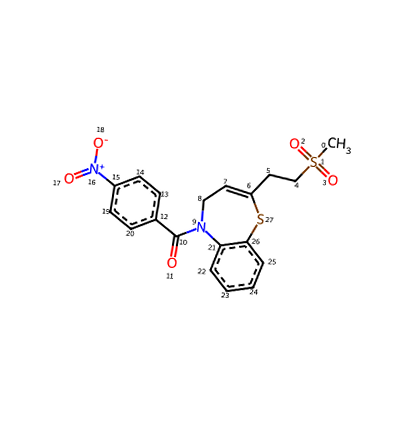 CS(=O)(=O)CCC1=CCN(C(=O)c2ccc([N+](=O)[O-])cc2)c2ccccc2S1